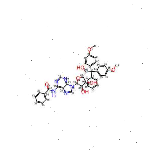 COc1ccc(C(c2ccccc2)(c2ccc(OC)cc2)C(O)[C@H]2O[C@@H](n3cnc4c(NC(=O)c5ccccc5)ncnc43)[C@H](O)[C@@H]2O)cc1